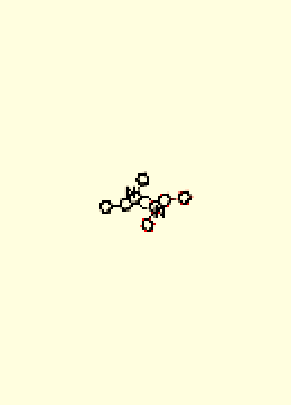 c1ccc(-c2ccc3c4c(c(-c5ccccc5)nc3c2)C2c3c(c(-c5ccccc5)nc5cc(-c6ccccc6)ccc35)C4c3c(-c4ccccc4)nc4cc(-c5ccccc5)ccc4c32)cc1